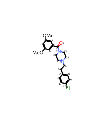 COc1cc(OC)cc(C(=O)N2CCN(CCc3ccc(Cl)cc3)CC2)c1